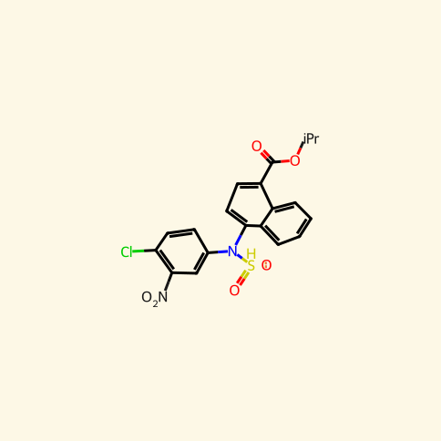 CC(C)OC(=O)c1ccc(N(c2ccc(Cl)c([N+](=O)[O-])c2)[SH](=O)=O)c2ccccc12